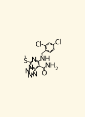 CSc1nc(NCc2ccc(Cl)cc2Cl)c(C(N)=O)c2nnnn12